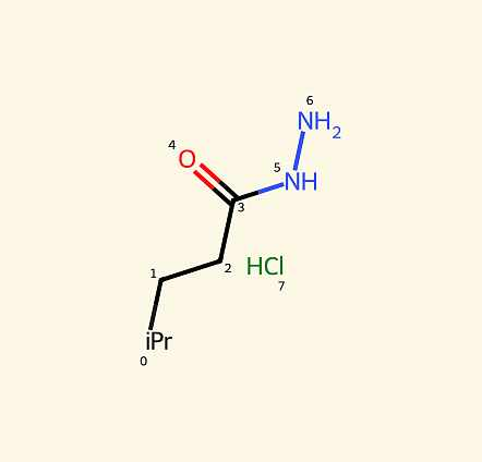 CC(C)CCC(=O)NN.Cl